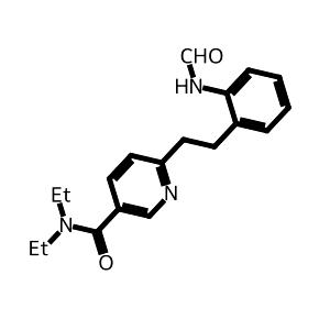 CCN(CC)C(=O)c1ccc(CCc2ccccc2NC=O)nc1